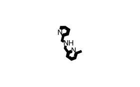 Cc1cccc(CNCc2ccccn2)n1